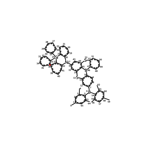 Cc1cc(C)c(B(c2ccc3c(c2)Sc2cc(N4c5ccccc5[Si](c5ccccc5)(c5ccccc5)c5ccccc54)cc4c2B3c2ccccc2S4)c2c(C)cc(C)cc2C)c(C)c1